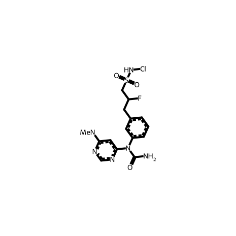 CNc1cc(N(C(N)=O)c2cccc(CC(F)CS(=O)(=O)NCl)c2)ncn1